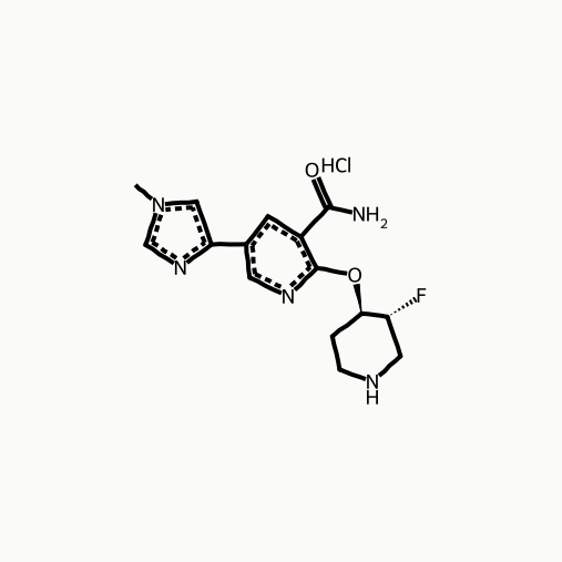 Cl.Cn1cnc(-c2cnc(O[C@@H]3CCNC[C@H]3F)c(C(N)=O)c2)c1